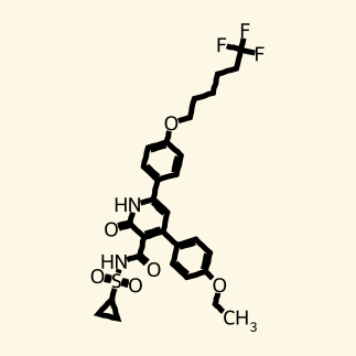 CCOc1ccc(-c2cc(-c3ccc(OCCCCCC(F)(F)F)cc3)[nH]c(=O)c2C(=O)NS(=O)(=O)C2CC2)cc1